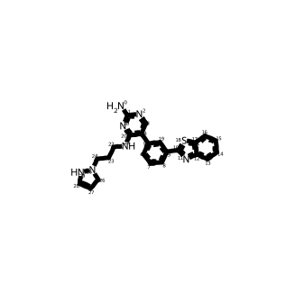 Nc1ncc(-c2cccc(-c3nc4ccccc4s3)c2)c(NCCCN2CC=CN2)n1